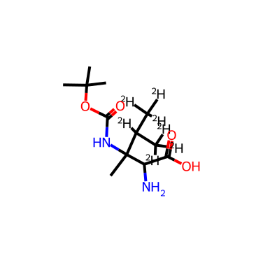 [2H]C([2H])([2H])C([2H])(C([2H])([2H])[2H])C(C)(NC(=O)OC(C)(C)C)C(N)C(=O)O